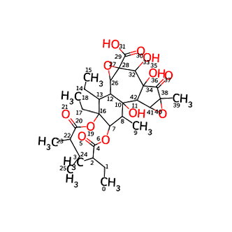 CCC(C)C(=O)OC1C(C)C2(O)C(C(CC)C1(CC)OC(=O)C(C)CC)C1OC1(C(=O)O)C(O)C1(O)C(=O)C3(C)OC3C12